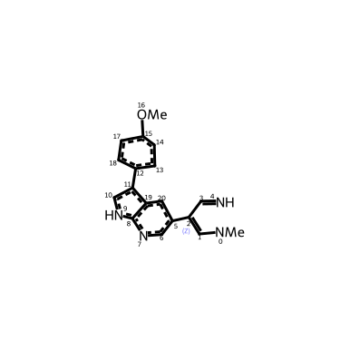 CN/C=C(\C=N)c1cnc2[nH]cc(-c3ccc(OC)cc3)c2c1